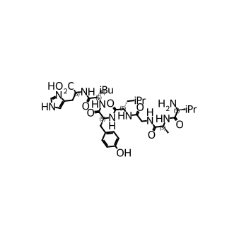 CC[C@@H](C)[C@H](NC(=O)[C@H](Cc1ccc(O)cc1)NC(=O)[C@H](CC(C)C)NC(=O)CNC(=O)[C@H](C)NC(=O)[C@@H](N)C(C)C)C(=O)N[C@@H](Cc1c[nH]cn1)C(=O)O